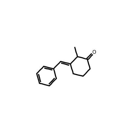 CC1C(=O)CCCC1=Cc1ccccc1